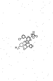 C[C@H]1CC[C@H](Cn2c(N3CCOC[C@H]3c3ccncc3)nc3nc(-c4n[nH]c(=O)o4)nc(-c4cccc(Cl)c4)c32)CC1